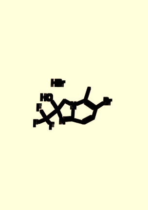 Br.CC1=C(Br)C=CC2=NC(O)(C(F)(F)F)CN21